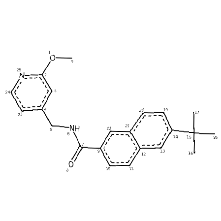 COc1cc(CNC(=O)c2ccc3cc(C(C)(C)C)ccc3c2)ccn1